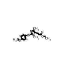 CCOC(=O)C=Cc1c(C)nc(SCc2ccc(OC)cc2)n1C